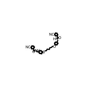 N#Cc1cccc(C(=O)NCc2ccc(OCCCCCCCOc3ccc(CNC(=O)c4cccc(C#N)c4)cc3)cc2)c1